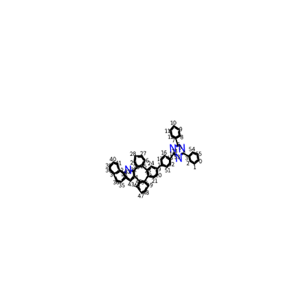 c1ccc(-c2nc(-c3ccccc3)nc(-c3ccc(-c4ccc5c(c4)-c4ccccc4-c4nc6c(ccc7ccccc76)cc4-c4ccccc4-5)cc3)n2)cc1